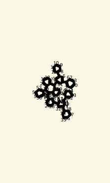 c1ccc(-c2cc(-c3ccccc3)cc(C3c4ccccc4-c4c(n(-c5cccc(-c6cc(-c7ccccc7)nc(-c7ccccc7)n6)c5)c5ccccc45)-c4ccccc43)c2)cc1